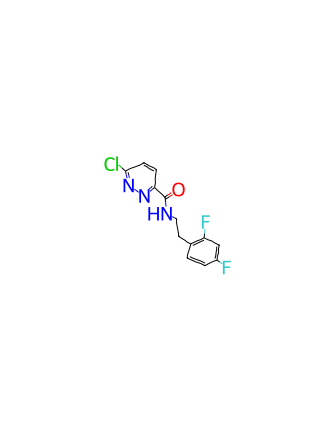 O=C(NCCc1ccc(F)cc1F)c1ccc(Cl)nn1